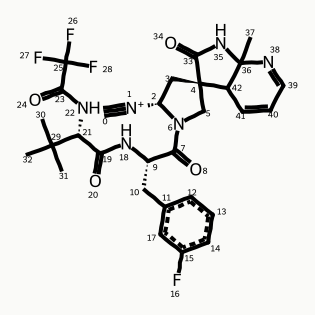 C#[N+][C@@H]1C[C@@]2(CN1C(=O)[C@H](Cc1cccc(F)c1)NC(=O)[C@@H](NC(=O)C(F)(F)F)C(C)(C)C)C(=O)NC1(C)N=CC=CC12